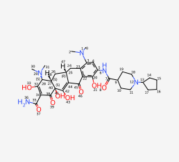 CN(C)c1cc(NC(=O)C2CCN(C3CCCC3)CC2)c(O)c2c1C[C@H]1C[C@H]3[C@H](N(C)C)C(O)=C(C(N)=O)C(=O)[C@@]3(O)C(O)=C1C2=O